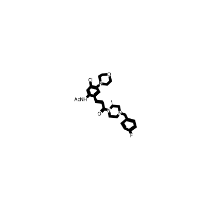 CC(=O)Nc1cc(Cl)c(N2CCOCC2)cc1C=CC(=O)N1CCN(Cc2ccc(F)cc2)C[C@H]1C